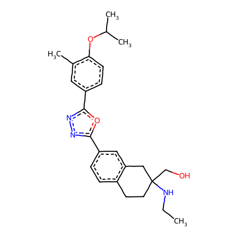 CCNC1(CO)CCc2ccc(-c3nnc(-c4ccc(OC(C)C)c(C)c4)o3)cc2C1